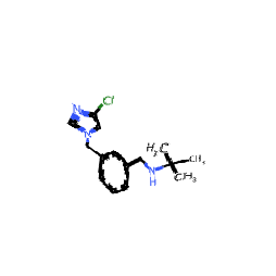 CC(C)(C)NCc1cccc(Cn2cnc(Cl)c2)c1